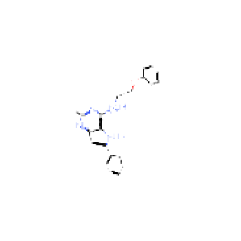 Cc1nc(NCCOc2ccccc2)c2[nH]c(-c3ccccc3)cc2n1